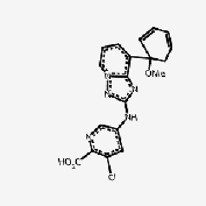 COC1(c2cccn3nc(Nc4cnc(C(=O)O)c(Cl)c4)nc23)C=CC=CC1